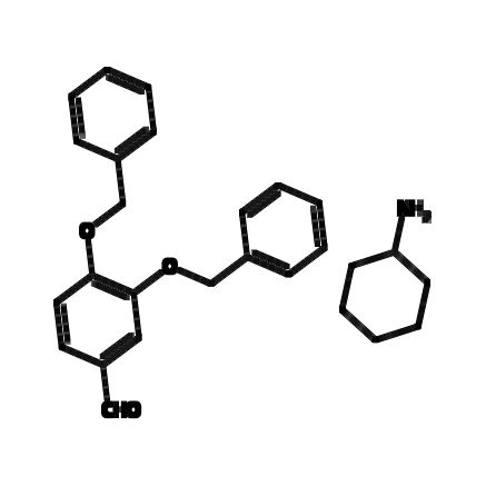 NC1CCCCC1.O=Cc1ccc(OCc2ccccc2)c(OCc2ccccc2)c1